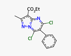 CCOC(=O)c1c(C)nn2c(Cl)c(-c3ccccc3)c(Cl)nc12